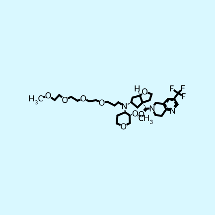 COCCOCCOCCOCCCN([C@@H]1C[C@H]2OCC[C@@]2(C(=O)N2CCc3ncc(C(F)(F)F)cc3C2)C1)[C@H]1CCOC[C@H]1OC